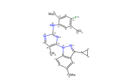 COc1ccc2c(c1)c(C1CC1)nn2-c1nc(Nc2cc([N+](=O)[O-])c(F)cc2OC)ncc1C